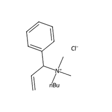 C=CC(c1ccccc1)[N+](C)(C)CCCC.[Cl-]